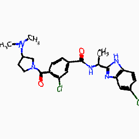 CC(NC(=O)c1ccc(C(=O)N2CCC(N(C)C)C2)c(Cl)c1)c1nc2cc(Cl)ccc2[nH]1